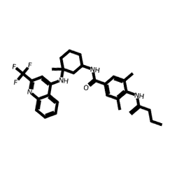 C=C(CCC)Nc1c(C)cc(C(=O)NC2CCCC(C)(Nc3cc(C(F)(F)F)nc4ccccc34)C2)cc1C